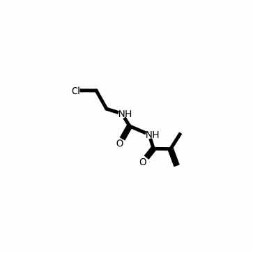 C=C(C)C(=O)NC(=O)NCCCl